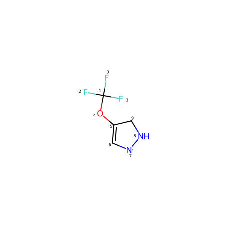 FC(F)(F)OC1=C[N]NC1